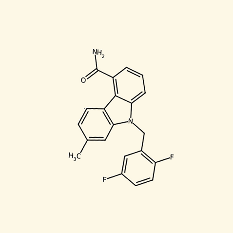 Cc1c[c]c2c3c(C(N)=O)cccc3n(Cc3cc(F)ccc3F)c2c1